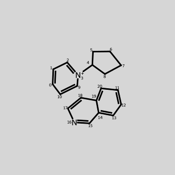 c1cc[n+](C2CCCC2)cc1.c1ccc2cnccc2c1